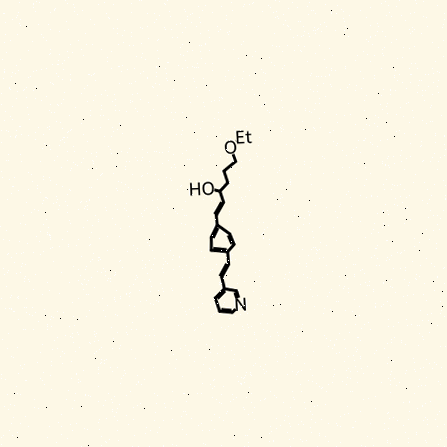 CCOCCCC(O)C=Cc1ccc(C=Cc2cccnc2)cc1